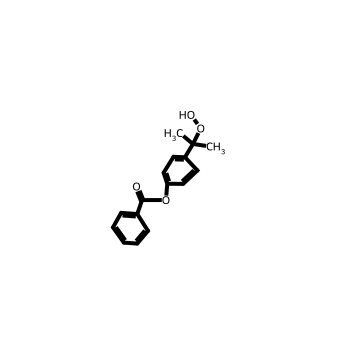 CC(C)(OO)c1ccc(OC(=O)c2ccccc2)cc1